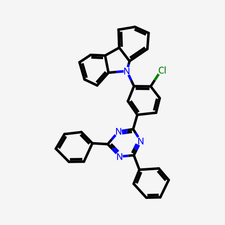 Clc1ccc(-c2nc(-c3ccccc3)nc(-c3ccccc3)n2)cc1-n1c2ccccc2c2ccccc21